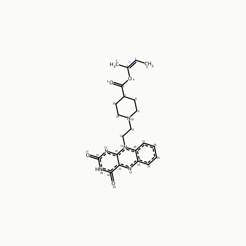 C/C=C(/C)OC(=O)C1CCN(CCn2c3nc(=O)[nH]c(=O)c-3nc3ccccc32)CC1